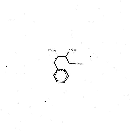 CCCCCCCCCC[C@H](C(=O)O)[C@H](Cc1ccccc1)C(=O)O